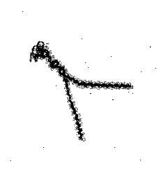 CCCCCCCCCCCCCCCCCCCCCCN(CCCCCCCCCCCCCCCCCCCCCC)c1ccc(-c2ccc(/C=C/c3ccc([N+](=O)[O-])c(C#N)c3)cc2)cc1